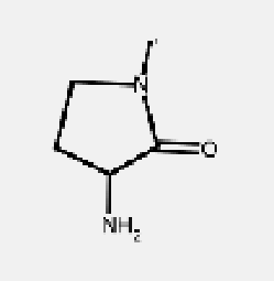 [CH2]N1CCC(N)C1=O